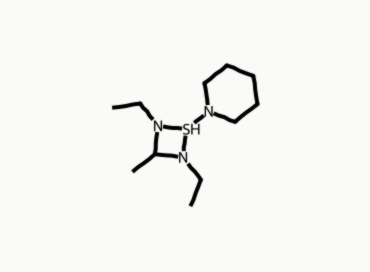 CCN1C(C)N(CC)[SH]1N1CCCCC1